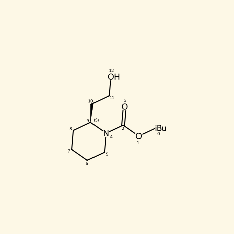 CCC(C)OC(=O)N1CCCC[C@H]1CCO